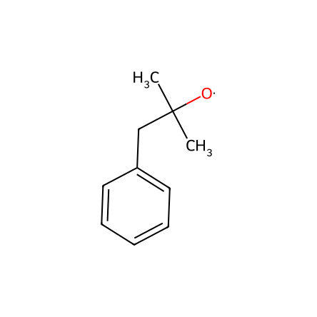 CC(C)([O])Cc1ccccc1